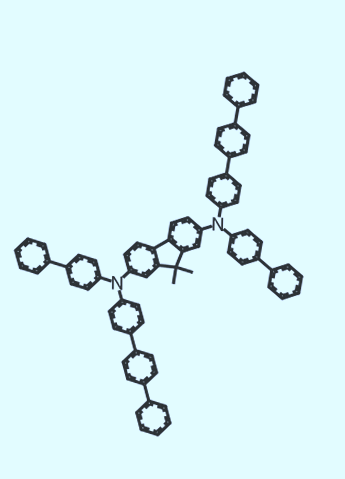 CC1(C)c2cc(N(c3ccc(-c4ccccc4)cc3)c3ccc(-c4ccc(-c5ccccc5)cc4)cc3)ccc2-c2ccc(N(c3ccc(-c4ccccc4)cc3)c3ccc(-c4ccc(-c5ccccc5)cc4)cc3)cc21